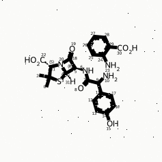 CC1(C)S[C@@H]2[C@H](NC(=O)C(N)c3ccc(O)cc3)C(=O)N2[C@H]1C(=O)O.Nc1ccccc1C(=O)O